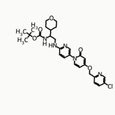 CC(C)(C)OC(=O)NC(CNc1ccc(-n2ccc(OCc3ccc(Cl)cn3)cc2=O)cn1)C1CCOCC1